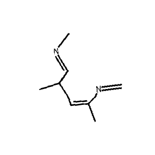 C=N/C(C)=C\C(C)/C=N/C